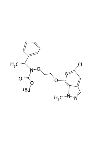 CC(c1ccccc1)N(OCCOc1nc(Cl)cc2cnn(C)c12)C(=O)OC(C)(C)C